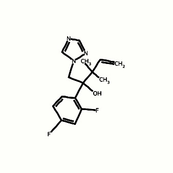 C=CC(C)(C)C(O)(Cn1cncn1)c1ccc(F)cc1F